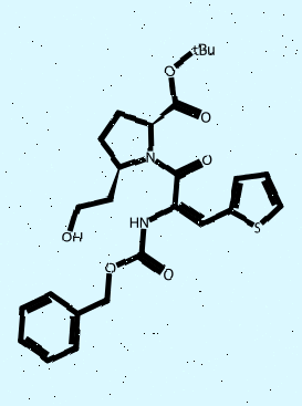 CC(C)(C)OC(=O)[C@@H]1CC[C@H](CCO)N1C(=O)/C(=C\c1cccs1)NC(=O)OCc1ccccc1